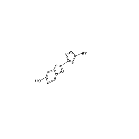 CC(C)c1cnc(-c2cc3cc(O)ccc3o2)s1